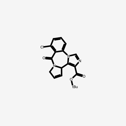 CC(C)(C)OC(=O)c1ncn2c1C1C=CCN1C(=O)c1c(Cl)cccc1-2